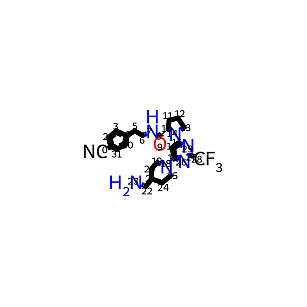 N#Cc1ccc(CCNC(=O)[C@@H]2CCCN2c2cc(N3CCC(CN)CC3)nc(C(F)(F)F)n2)cc1